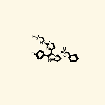 CCNc1nccc(-c2c(-c3ccc(F)cc3)nc3n2[C@H](CS(=O)(=O)Cc2ccccc2)CC3)n1